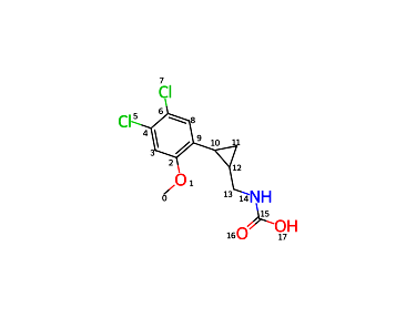 COc1cc(Cl)c(Cl)cc1C1CC1CNC(=O)O